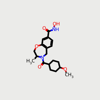 COC1CCC(C(=O)N2Cc3ccc(C(=O)NO)cc3OCC2C)CC1